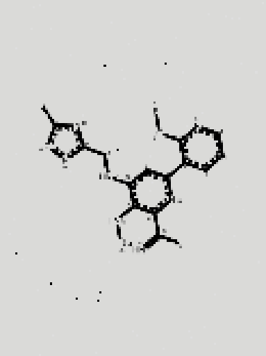 CCOc1ncccc1-c1cc(NCc2noc(C)n2)c(NC(C)CC)c(C(C)=N)n1